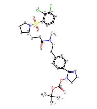 CN(CCc1ccc(C2=NCCN2OC(=O)OC(C)(C)C)cc1)C(=O)CC[C@@H]1CCCN1S(=O)(=O)c1cccc(Cl)c1Cl